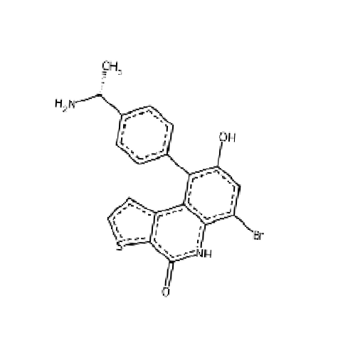 C[C@@H](N)c1ccc(-c2c(O)cc(Br)c3[nH]c(=O)c4sccc4c23)cc1